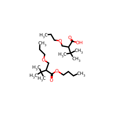 CCCCOC(=O)C(COCCC)C(C)(C)C.CCCOCC(C(=O)O)C(C)(C)C